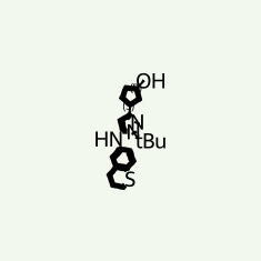 CC(C)(C)n1nc([C@H]2CC[C@@H](O)C2)cc1Nc1ccc2c(c1)CCCS2